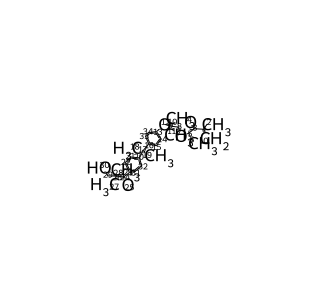 C=C(C)C(=O)C(C)OCC(C)(C)Oc1ccc(C(C)(C)c2ccc(C(=O)C(C)(C)CO)cc2)cc1